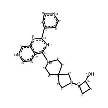 O[C@H]1CC[C@H]1N1CCC2(CCN(c3nc(-c4ccncc4)nc4cnccc34)CC2)C1